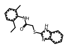 CCc1cccc(C)c1NC(=O)CSc1nc2ccccc2[nH]1